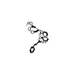 O=C[C@H](CC(=O)O)NC(=O)[C@@H]1CCCN2CC[C@H](NC(=O)CCc3ccccc3)C(=O)N12